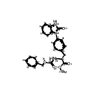 CC(C)(C)OC(=O)[C@H](Cc1ccc(-n2c(=O)[nH]c3ccccc32)cc1)NC(=O)OCc1ccccc1